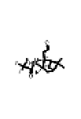 CC1(C)C2CC1[C@@H](CC=O)[C@H](NC(=O)C(F)(F)F)C2